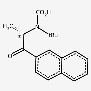 C[C@@H](C(=O)c1ccc2ccccc2c1)N(C(=O)O)C(C)(C)C